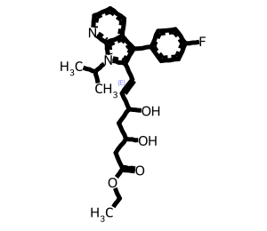 CCOC(=O)CC(O)CC(O)/C=C/c1c(-c2ccc(F)cc2)c2cccnc2n1C(C)C